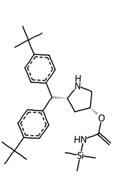 C=C(N[Si](C)(C)C)O[C@H]1CN[C@@H](C(c2ccc(C(C)(C)C)cc2)c2ccc(C(C)(C)C)cc2)C1